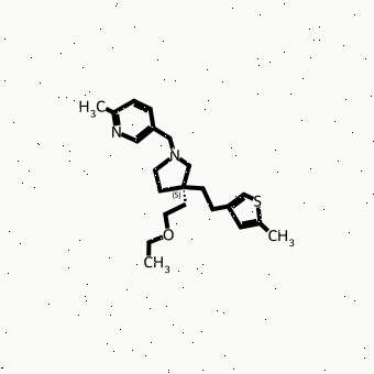 CCOCC[C@]1(CCc2csc(C)c2)CCN(Cc2ccc(C)nc2)C1